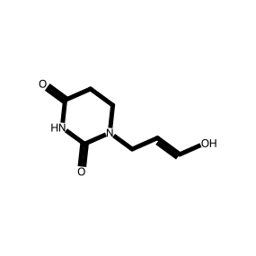 O=C1CCN(CC=CO)C(=O)N1